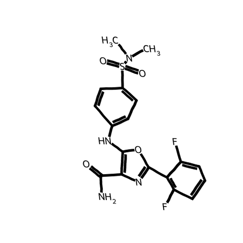 CN(C)S(=O)(=O)c1ccc(Nc2oc(-c3c(F)cccc3F)nc2C(N)=O)cc1